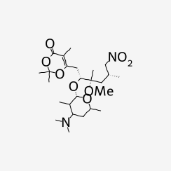 CO[C@](C)(C[C@@H](C)C[N+](=O)[O-])[C@@H](CC1=C(C)C(=O)OC(C)(C)O1)O[C@@H]1OC(C)CC(N(C)C)C1C